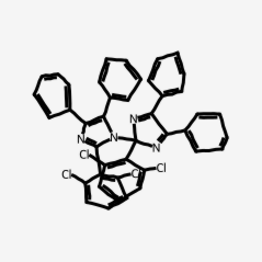 Clc1cccc(Cl)c1-c1nc(-c2ccccc2)c(-c2ccccc2)n1C1(c2c(Cl)cccc2Cl)N=C(c2ccccc2)C(c2ccccc2)=N1